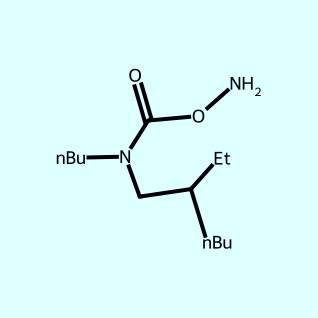 CCCCC(CC)CN(CCCC)C(=O)ON